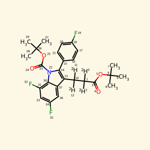 [2H]C([2H])(C(=O)OC(C)(C)C)C([2H])([2H])c1c(-c2ccc(F)cc2)n(C(=O)OC(C)(C)C)c2c(F)cc(F)cc12